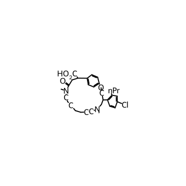 CCCc1cc(Cl)ccc1C1COc2ccc(cc2)C(C(=O)O)CC(=O)N(C)CCCCCCCN(C)C1